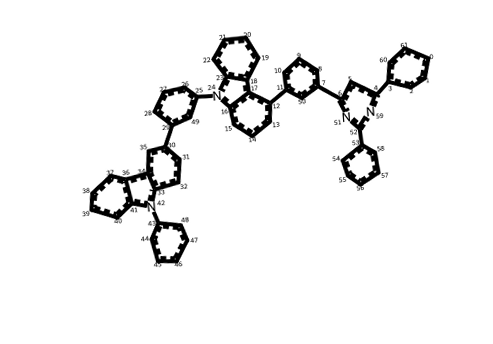 c1ccc(-c2cc(-c3cccc(-c4cccc5c4c4ccccc4n5-c4cccc(-c5ccc6c(c5)c5ccccc5n6-c5ccccc5)c4)c3)nc(-c3ccccc3)n2)cc1